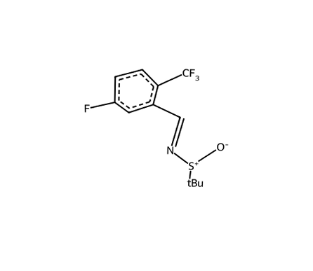 CC(C)(C)[S+]([O-])N=Cc1cc(F)ccc1C(F)(F)F